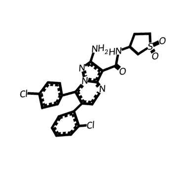 Nc1nn2c(-c3ccc(Cl)cc3)c(-c3ccccc3Cl)cnc2c1C(=O)NC1CCS(=O)(=O)C1